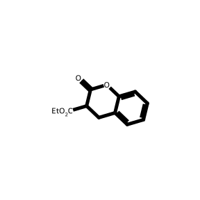 CCOC(=O)C1Cc2ccccc2OC1=O